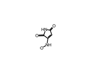 [O]NC1=CC(=O)NC1=O